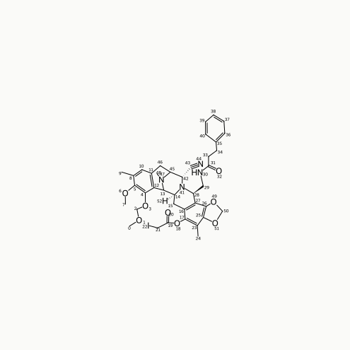 COCOc1c(OC)c(C)cc2c1C1[C@@H]3Cc4c(OC(=O)CI)c(C)c5c(c4[C@H](CNC(=O)CCc4ccccc4)N3[C@@H](C#N)C(C2)N1C)OCO5